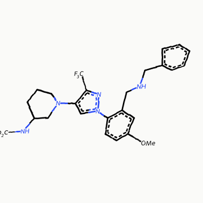 COc1ccc(-n2cc(N3CCCC(NC(=O)O)C3)c(C(F)(F)F)n2)c(CNCc2ccccc2)c1